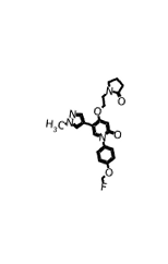 Cn1cc(-c2cn(-c3ccc(OCF)cc3)c(=O)cc2OCCN2CCCC2=O)cn1